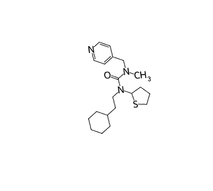 CN(Cc1ccncc1)C(=O)N(CCC1CCCCC1)C1CCCS1